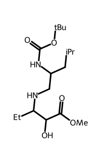 CCC(NCC(CC(C)C)NC(=O)OC(C)(C)C)C(O)C(=O)OC